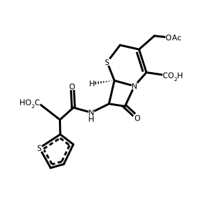 CC(=O)OCC1=C(C(=O)O)N2C(=O)C(NC(=O)C(C(=O)O)c3cccs3)[C@H]2SC1